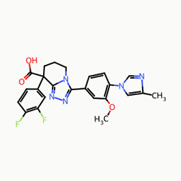 COc1cc(-c2nnc3n2CCCC3(C(=O)O)c2ccc(F)c(F)c2)ccc1-n1cnc(C)c1